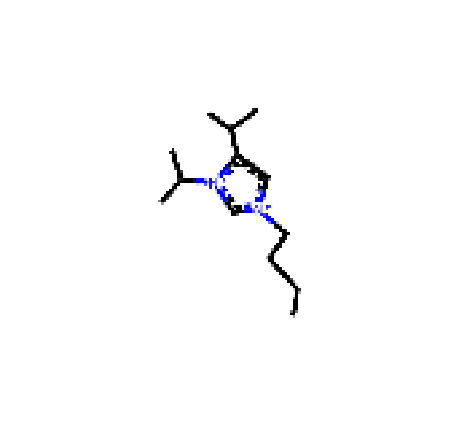 CCCC[n+]1cc(C(C)C)n(C(C)C)c1